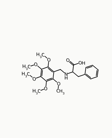 COc1c(CNC(Cc2ccccc2)C(=O)O)c(OC)c(OC)c(OC)c1OC